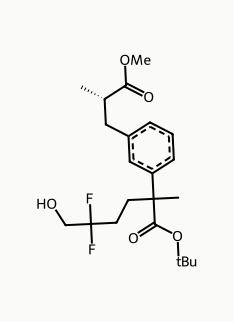 COC(=O)[C@@H](C)Cc1cccc(C(C)(CCC(F)(F)CO)C(=O)OC(C)(C)C)c1